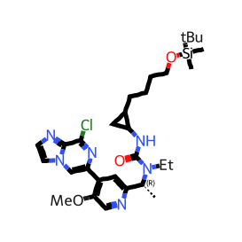 CCN(C(=O)NC1CC1CCCCO[Si](C)(C)C(C)(C)C)[C@H](C)c1cc(-c2cn3ccnc3c(Cl)n2)c(OC)cn1